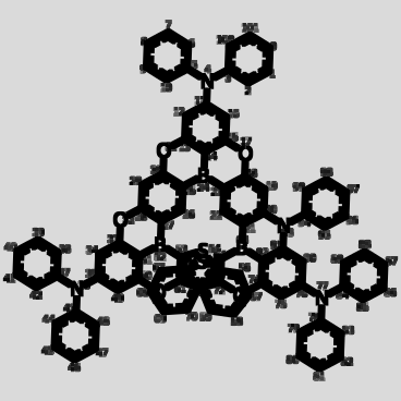 c1ccc(N(c2ccccc2)c2cc3c4c(c2)Oc2cc5c(cc2B4c2cc4c(cc2O3)Oc2cc(N(c3ccccc3)c3ccccc3)cc3c2B4c2sc4ccccc4c2O3)B2c3sc4ccccc4c3Oc3cc(N(c4ccccc4)c4ccccc4)cc(c32)N5c2ccccc2)cc1